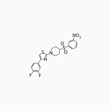 O=[N+]([O-])c1cccc(S(=O)(=O)C2CCN(c3nc(-c4ccc(F)c(F)c4)cs3)CC2)c1